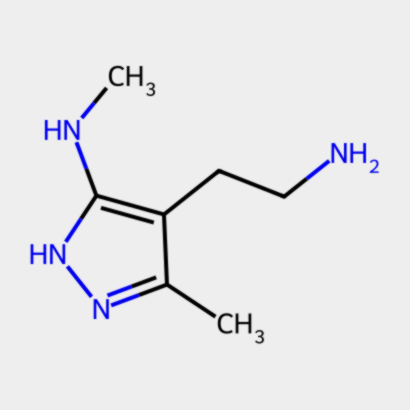 CNc1[nH]nc(C)c1CCN